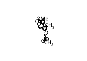 COC(=O)c1cccc2c1OCCc1cc(OCCCS(C)(=O)=O)cc(C)c1-2